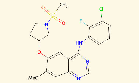 COc1cc2ncnc(Nc3cccc(Cl)c3F)c2cc1OC1CCN(S(C)(=O)=O)C1